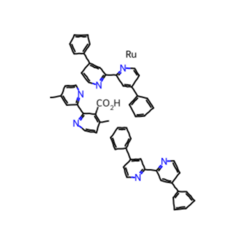 Cc1ccnc(-c2nccc(C)c2C(=O)O)c1.[Ru].c1ccc(-c2ccnc(-c3cc(-c4ccccc4)ccn3)c2)cc1.c1ccc(-c2ccnc(-c3cc(-c4ccccc4)ccn3)c2)cc1